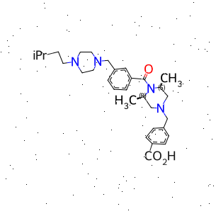 CC(C)CCN1CCN(Cc2cccc(C(=O)N3[C@H](C)CN(Cc4ccc(C(=O)O)cc4)C[C@@H]3C)c2)CC1